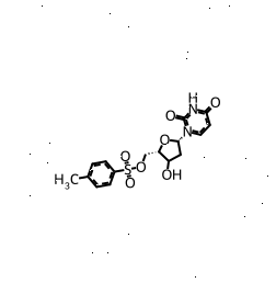 Cc1ccc(S(=O)(=O)OC[C@@H]2O[C@H](n3ccc(=O)[nH]c3=O)CC2O)cc1